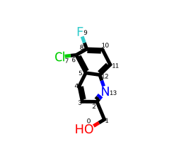 OCc1ccc2c(Cl)c(F)ccc2n1